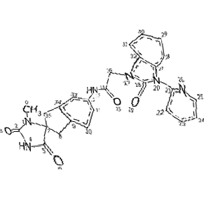 CN1C(=O)NC(=O)C12Cc1ccc(NC(=O)Cn3c(=O)n(-c4ccccn4)c4ccccc43)cc1C2